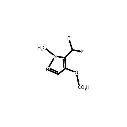 Cn1ncc(OC(=O)O)c1C(F)F